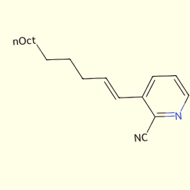 CCCCCCCCCCCC=Cc1cccnc1C#N